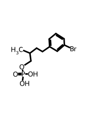 CC(CCc1cccc(Br)c1)COP(=O)(O)O